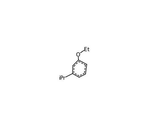 CCOc1cccc(C(C)C)c1